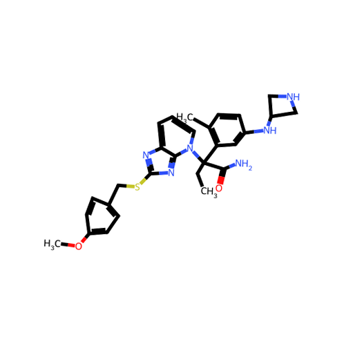 CCC(C(N)=O)(c1cc(NC2CNC2)ccc1C)n1cccc2nc(SCc3ccc(OC)cc3)nc1-2